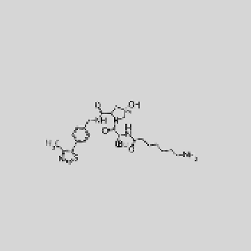 Cc1ncsc1-c1ccc(CNC(=O)C2C[C@H](O)CN2C(=O)C(NC(=O)CCCCCCN)C(C)(C)C)cc1